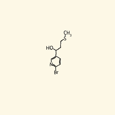 CSCCC(O)c1ccc(Br)nc1